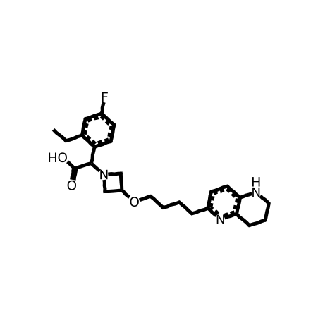 CCc1cc(F)ccc1C(C(=O)O)N1CC(OCCCCc2ccc3c(n2)CCCN3)C1